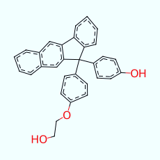 OCCOc1ccc(C2(c3ccc(O)cc3)c3ccccc3-c3cc4ccccc4cc32)cc1